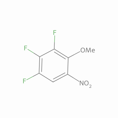 COc1c([N+](=O)[O-])cc(F)c(F)c1F